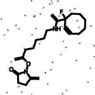 C=C(CCCCCNC(=C)C1(F)C#CCCCCC1)ON1C(=C)CCC1=O